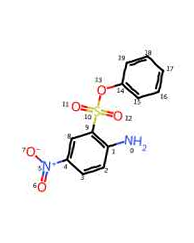 Nc1ccc([N+](=O)[O-])cc1S(=O)(=O)Oc1ccccc1